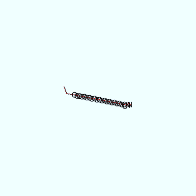 CCCCCCCC/C=C\CCCCCCCCOCCOCCOCCOCCOCCOCCOCCOCCOCCOCCOCCOCCOCCOCCOCCOCCOCCOCCOCCOCCOC(=O)CCN1CCN(C)CC1